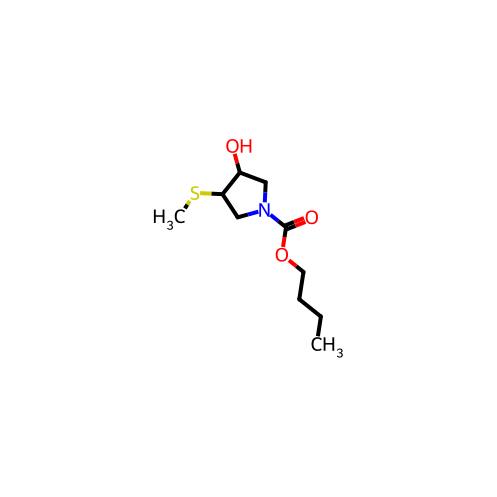 CCCCOC(=O)N1CC(O)C(SC)C1